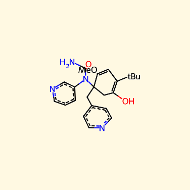 COC1=CC(C(C)(C)C)=C(O)CC1(Cc1ccncc1)N(C(N)=O)c1cccnc1